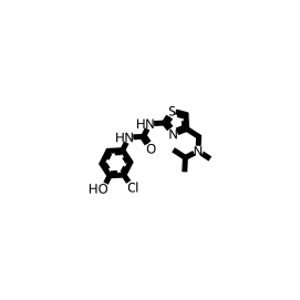 CC(C)N(C)Cc1csc(NC(=O)Nc2ccc(O)c(Cl)c2)n1